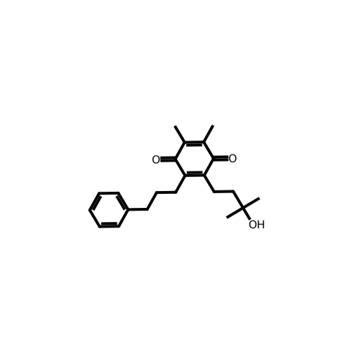 CC1=C(C)C(=O)C(CCC(C)(C)O)=C(CCCc2ccccc2)C1=O